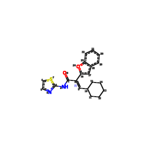 O=C(Nc1nccs1)/C(=C/C1CCCCC1)c1cc2ccccc2o1